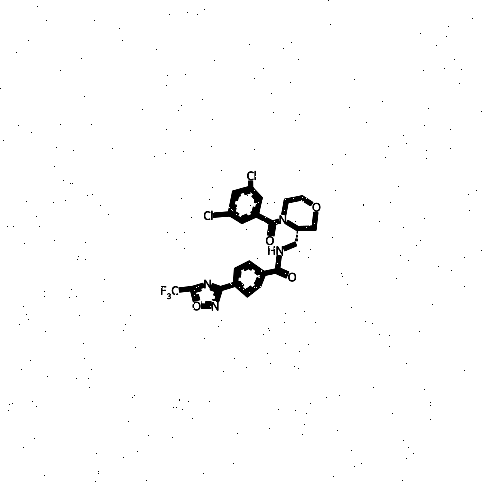 O=C(NC[C@H]1COCCN1C(=O)c1cc(Cl)cc(Cl)c1)c1ccc(-c2noc(C(F)(F)F)n2)cc1